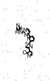 CN1CCC(c2csc(-c3cccc(-c4ccnc(Nc5ccn(C)n5)n4)n3)n2)C1=O